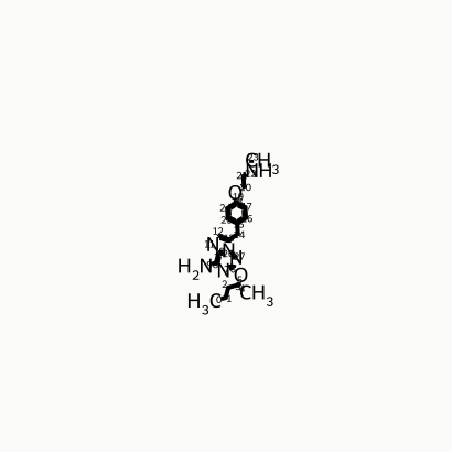 CCCC(C)Oc1nc(N)c2ncc(Cc3ccc(OCCNC)cc3)n2n1